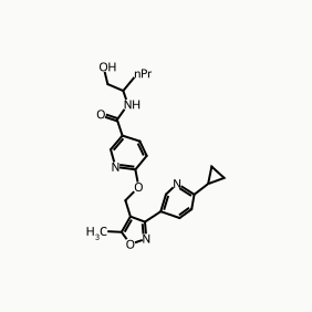 CCCC(CO)NC(=O)c1ccc(OCc2c(-c3ccc(C4CC4)nc3)noc2C)nc1